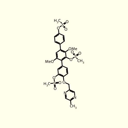 COc1cc(-c2ccc(OS(C)(=O)=O)cc2)c(OC)c(OS(C)(=O)=O)c1-c1ccc(OCc2cnc(C)cn2)c(OS(C)(=O)=O)c1